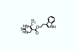 CC1=C(C(=O)OCCc2c[nH]c3ccccc23)CNC(=S)N1